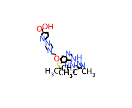 Cc1n[nH]c(Nc2ncnc3cc(OCCN4CCN(c5ccc(C(=O)O)cn5)CC4)c(SC(C)(C)C)cc23)c1C